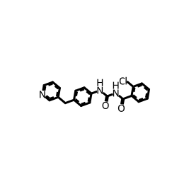 O=C(NC(=O)c1ccccc1Cl)Nc1ccc(Cc2cccnc2)cc1